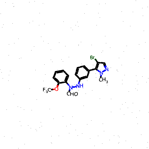 Cn1ncc(Br)c1-c1cccc(NN(C=O)c2ccccc2OC(F)(F)F)c1